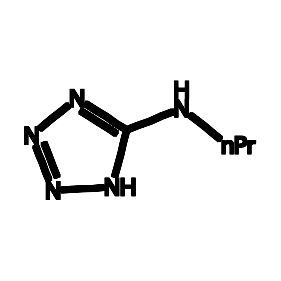 [CH2]CCNc1nnn[nH]1